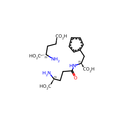 N[C@@H](CCC(=O)N[C@@H](Cc1ccccc1)C(=O)O)C(=O)O.N[C@@H](CCC(=O)O)C(=O)O